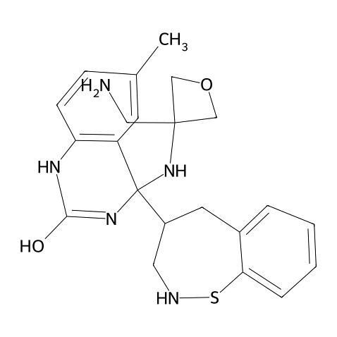 Cc1ccc2c(c1)C(NC1(CN)COC1)(C1CNSc3ccccc3C1)N=C(O)N2